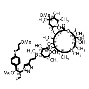 COCCSc1ccc([C@@H](OC)[C@@H](CF)n2cc(CCN(C)[C@H]3C[C@@H](C)O[C@@H](O[C@@H]4[C@@H](C)[C@H](O[C@H]5C[C@@](C)(OC)[C@@H](O)[C@H](C)O5)[C@@H](C)C(=O)O[C@H](I)[C@@](C)(O)[C@H](O)[C@@H](C)N(C)C[C@H](C)C[C@@]4(C)O)[C@@H]3O)nn2)cc1